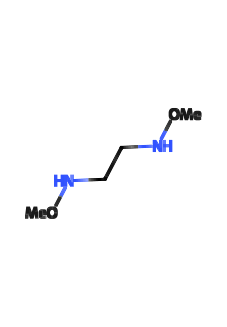 CONCCNOC